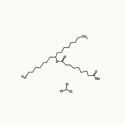 CCCCCCCCC(CCCCCCCC)OC(=O)CCCCCCCC(=O)O.ClC(Cl)Cl